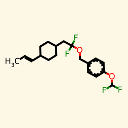 CC=CC1CCC(CC(F)(F)OCc2ccc(OC(F)F)cc2)CC1